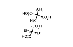 CC(C)(C(=O)O)C(=O)O.CCC(CC)(C(=O)O)C(=O)O